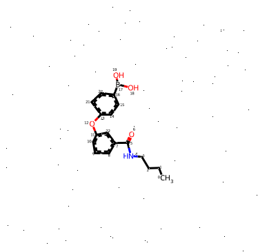 CCCCNC(=O)c1cccc(Oc2ccc(B(O)O)cc2)c1